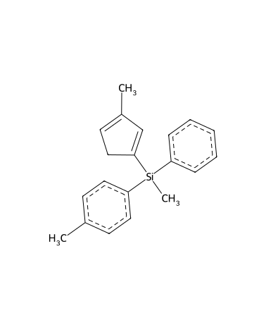 CC1=CCC([Si](C)(c2ccccc2)c2ccc(C)cc2)=C1